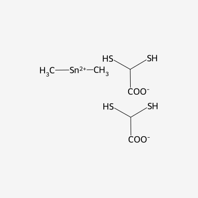 O=C([O-])C(S)S.O=C([O-])C(S)S.[CH3][Sn+2][CH3]